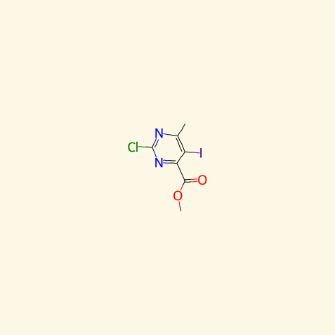 COC(=O)c1nc(Cl)nc(C)c1I